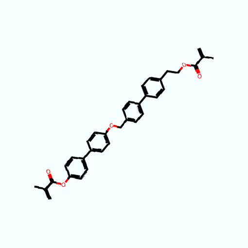 C=C(C)C(=O)OCCc1ccc(-c2ccc(COc3ccc(-c4ccc(OC(=O)C(=C)C)cc4)cc3)cc2)cc1